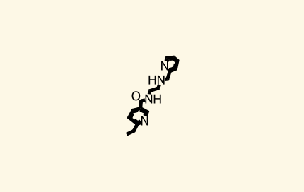 CCc1ccc(C(=O)NCCNCc2ccccn2)cn1